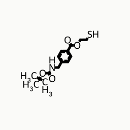 CC(C)(C)OC(=O)NCc1ccc(C(=O)OCCS)cc1